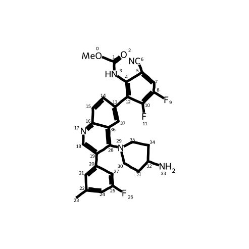 COC(=O)Nc1c(C#N)cc(F)c(F)c1-c1ccc2ncc(-c3cc(C)cc(F)c3)c(N3CCC(N)CC3)c2c1